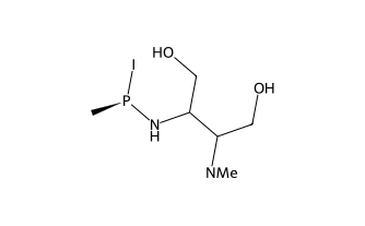 CNC(CO)C(CO)N[P@@](C)I